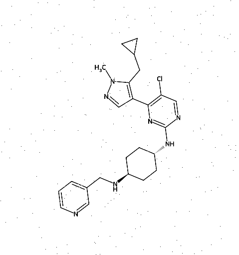 Cn1ncc(-c2nc(N[C@H]3CC[C@H](NCc4cccnc4)CC3)ncc2Cl)c1CC1CC1